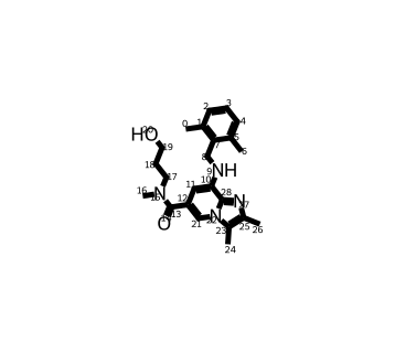 Cc1cccc(C)c1CNc1cc(C(=O)N(C)CCCO)cn2c(C)c(C)nc12